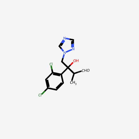 CC(C=O)C(O)(Cn1cncn1)c1ccc(Cl)cc1Cl